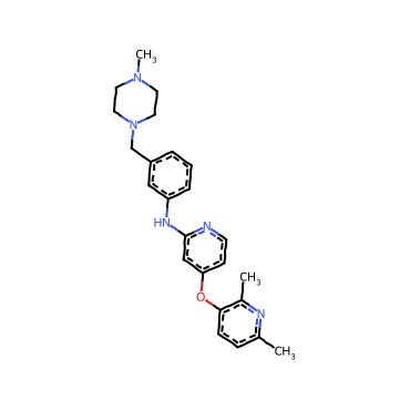 Cc1ccc(Oc2ccnc(Nc3cccc(CN4CCN(C)CC4)c3)c2)c(C)n1